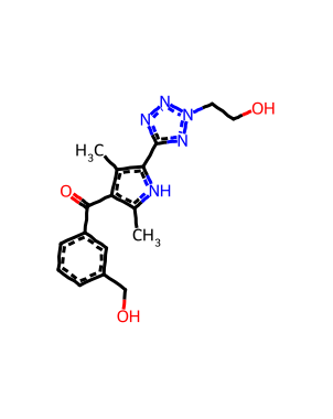 Cc1[nH]c(-c2nnn(CCO)n2)c(C)c1C(=O)c1cccc(CO)c1